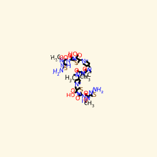 CCN(Cc1cc[n+](CC2=C(C(=O)O)N3C(=O)C(NC(=O)/C(=N\OC)c4csc(N)n4)C3SC2)cc1)C(=O)CN(C)CC(=O)N(CC)Cc1cc[n+](CC2=C(C(=O)O)N3C(=O)C(NC(=O)/C(=N\OC)c4csc(N)n4)C3SC2)cc1